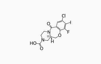 O=C(O)N1CCN2C(=O)c3cc(Cl)c(I)c(F)c3OC[C@@H]2C1